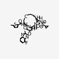 Cc1ccc(C(=O)N[C@H]2CCCCC/C=C\[C@@H]3C[C@@]3(C(=O)NS(=O)(=O)C3CC3)NC(=O)[C@@H]3C[C@@H](Oc4nc5c(F)cccc5nc4C)CN3C2=O)s1